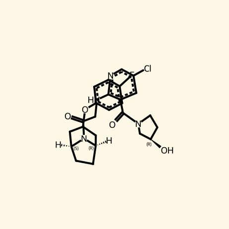 O=C(c1cc(Cl)cnc1NCC(=O)N1[C@@H]2CC[C@H]1CC(Oc1ccc(F)cc1)C2)N1CC[C@@H](O)C1